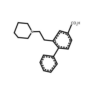 O=C(O)c1ccc(-c2ccccc2)c(CCN2CCCCC2)c1